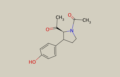 CC(=O)[C@@H]1C(c2ccc(O)cc2)CCN1C(C)=O